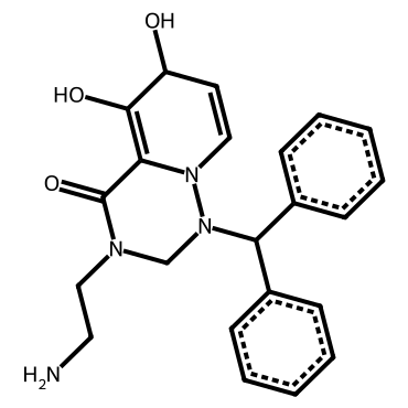 NCCN1CN(C(c2ccccc2)c2ccccc2)N2C=CC(O)C(O)=C2C1=O